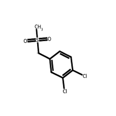 CS(=O)(=O)[CH]c1ccc(Cl)c(Cl)c1